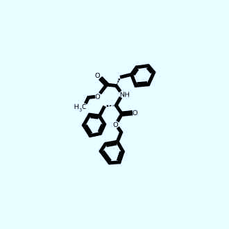 CCOC(=O)[C@H](Cc1ccccc1)N[C@@H](Cc1ccccc1)C(=O)OCc1ccccc1